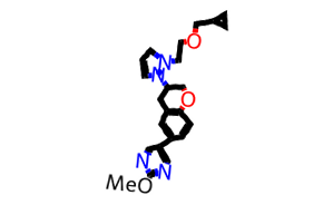 COc1ncc(-c2ccc3c(c2)CC(N2C=CCN2CCOCC2CC2)CO3)cn1